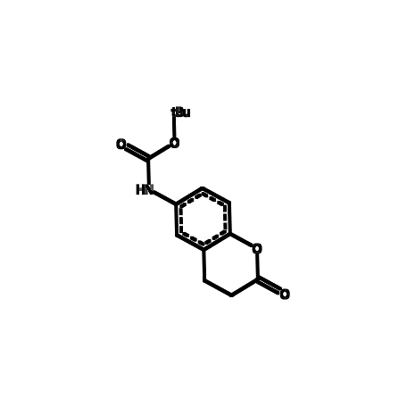 CC(C)(C)OC(=O)Nc1ccc2c(c1)CCC(=O)O2